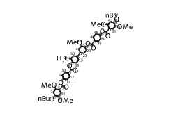 CCCCOc1cc(OC)c(C(=O)Oc2ccc(C(=O)Oc3ccc(-c4ccc(OC(=O)c5ccc(OC(=O)c6cc(OC)c(OCCCC)cc6OC)cc5)c(OC)c4)cc3C)cc2)cc1OC